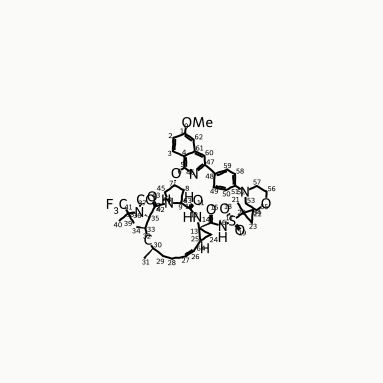 COc1ccc2c(O[C@@H]3C[C@H]4C(=O)N[C@]5(C(=O)NS(=O)(=O)C6(C)CC6)C[C@H]5/C=C\CC[C@@H](C)C[C@@H](C)[C@H](N(C(=O)O)C(C)(C)C(F)(F)F)C(=O)N4C3)nc(-c3ccc(N4CCOCC4)cc3)cc2c1